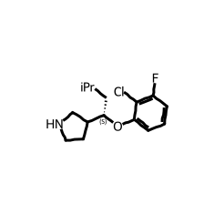 CC(C)C[C@H](Oc1cccc(F)c1Cl)C1CCNC1